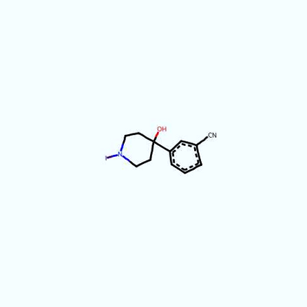 N#Cc1cccc(C2(O)CCN(I)CC2)c1